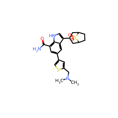 CN(C)Cc1cc(-c2cc(C(N)=O)c3[nH]cc(C4CC5CCC(C4)S5(=O)=O)c3c2)cs1